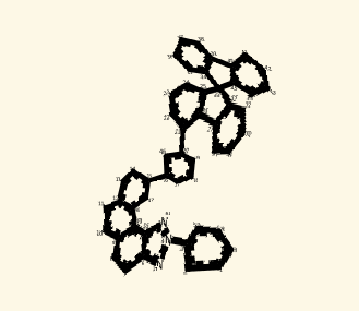 c1ccc(-n2nc3ccc4ccc5ccc(-c6cccc(-c7cccc8c7-c7ccccc7C87c8ccccc8-c8ccccc87)c6)cc5c4c3n2)cc1